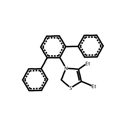 CCC1=C(CC)N(c2c(-c3ccccc3)cccc2-c2ccccc2)CS1